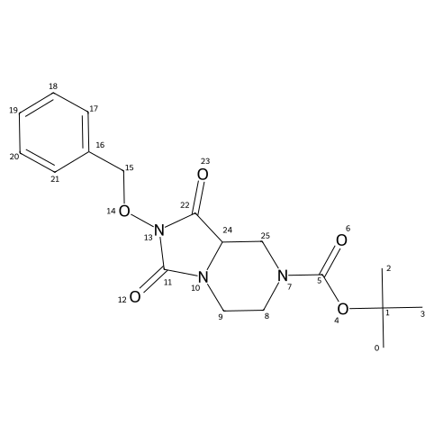 CC(C)(C)OC(=O)N1CCN2C(=O)N(OCc3ccccc3)C(=O)C2C1